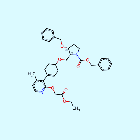 CCOC(=O)COc1nccc(C)c1C1=CCC(OC[C@H]2[C@H](OCc3ccccc3)CCN2C(=O)OCc2ccccc2)CC1